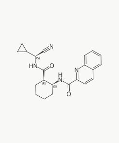 N#C[C@@H](NC(=O)[C@@H]1CCCC[C@@H]1NC(=O)c1ccc2ccccc2n1)C1CC1